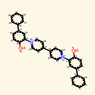 Oc1ccc(-c2ccccc2)cc1-[n+]1ccc(-c2cc[n+](-c3cc(-c4ccccc4)ccc3O)cc2)cc1